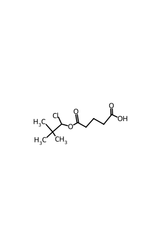 CC(C)(C)C(Cl)OC(=O)CCCC(=O)O